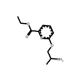 CCOC(=O)c1cccc(OCC(C)N)n1